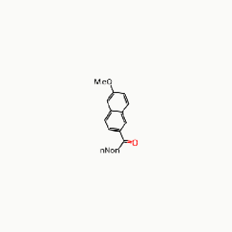 CCCCCCCCCC(=O)c1ccc2cc(OC)ccc2c1